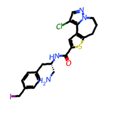 NC[C@H](Cc1ccc(CI)cc1)NC(=O)c1cc2c(s1)CCCn1ncc(Cl)c1-2